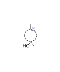 C/C1=C/CCC(C)(O)CCC1